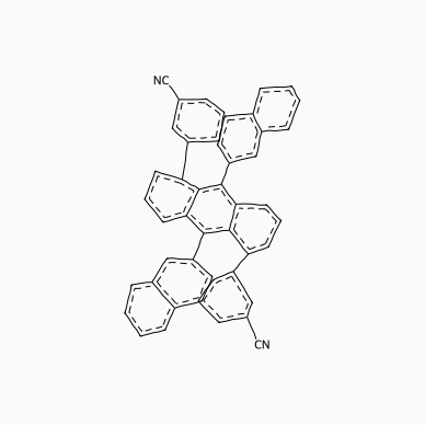 N#Cc1cccc(-c2cccc3c(-c4ccc5ccccc5c4)c4c(-c5cccc(C#N)c5)cccc4c(-c4ccc5ccccc5c4)c23)c1